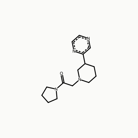 O=C(CN1CCCC(c2cnccn2)C1)N1CCCC1